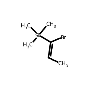 CC=C(Br)[Si](C)(C)C